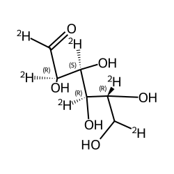 [2H]C(=O)[C@]([2H])(O)[C@@]([2H])(O)[C@]([2H])(O)[C@]([2H])(O)C([2H])O